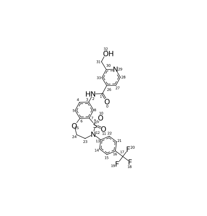 O=C(Nc1ccc2c(c1)S(=O)(=O)N(c1ccc(C(F)(F)F)cc1)CCO2)c1ccnc(CO)c1